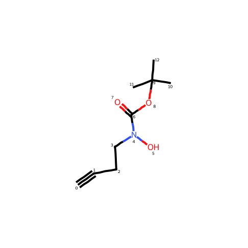 C#CCCN(O)C(=O)OC(C)(C)C